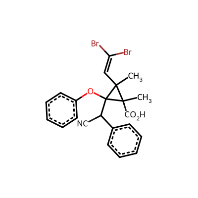 CC1(C=C(Br)Br)C(C)(C(=O)O)C1(Oc1ccccc1)C(C#N)c1ccccc1